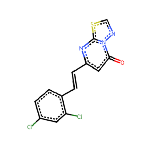 O=c1cc(/C=C/c2ccc(Cl)cc2Cl)nc2scnn12